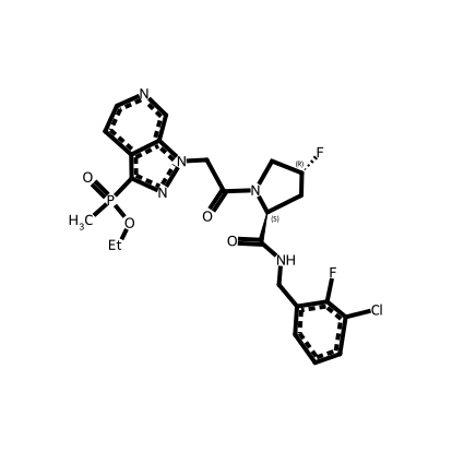 CCOP(C)(=O)c1nn(CC(=O)N2C[C@H](F)C[C@H]2C(=O)NCc2cccc(Cl)c2F)c2cnccc12